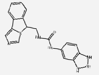 O=C(NCC1c2ccccc2-c2cncn21)Nc1ccc2c(c1)NNN2